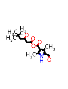 Cc1[nH]c(C=O)c(C)c1C(=O)OC(=O)CC(=O)CC(C)(C)C